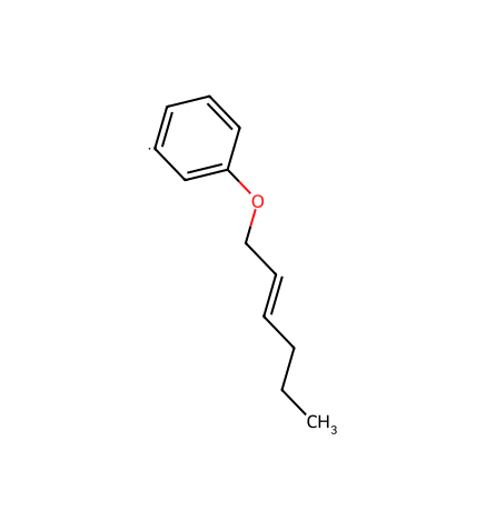 CCCC=CCOc1c[c]ccc1